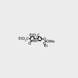 CCOC(=O)c1cc(-c2ccc(OC(OC)OCC)cc2)[nH]c(=O)c1C(=O)OCC